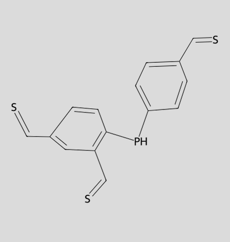 S=Cc1ccc(Pc2ccc(C=S)cc2C=S)cc1